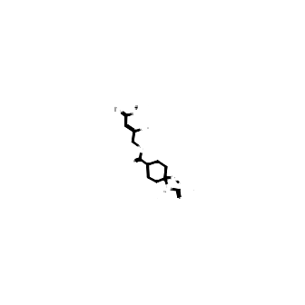 CNC1(N(C)C=O)CCC(C(=O)NC/C(O)=C/C(=N)OC)CC1